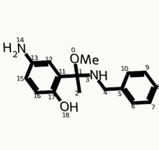 COC(C)(NCc1ccccc1)c1cc(N)ccc1O